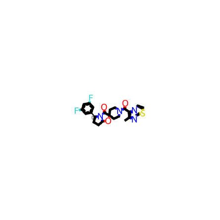 Cc1nc2sccn2c1C(=O)N1CCC2(CC1)OC1CC[C@@H](c3cc(F)cc(F)c3)N1C2=O